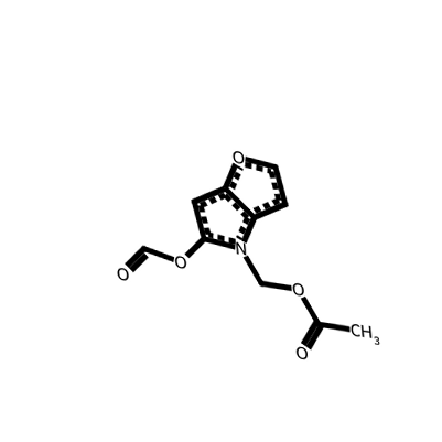 CC(=O)OCn1c(OC=O)cc2occc21